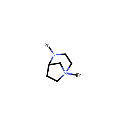 CC(C)N1CC[N+]2(C(C)C)CCC1C2